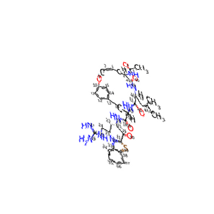 CC(=O)N[C@H]1C/C=C\COc2ccc(cc2)C[C@@H](C(=O)N[C@@H](CCCNC(=N)N)C(=O)c2nc3ccccc3s2)NC(=O)[C@H](CC(C)C)NC1=O